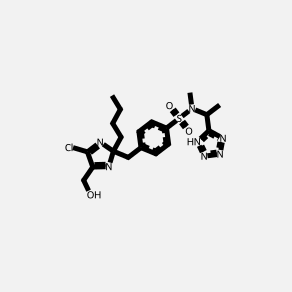 CCCCC1(Cc2ccc(S(=O)(=O)N(C)C(C)c3nnn[nH]3)cc2)N=C(Cl)C(CO)=N1